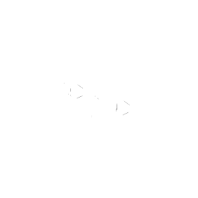 CC(Cc1ccc2c(c1)OCO2)CN(C)Cc1ccc(Cl)nc1